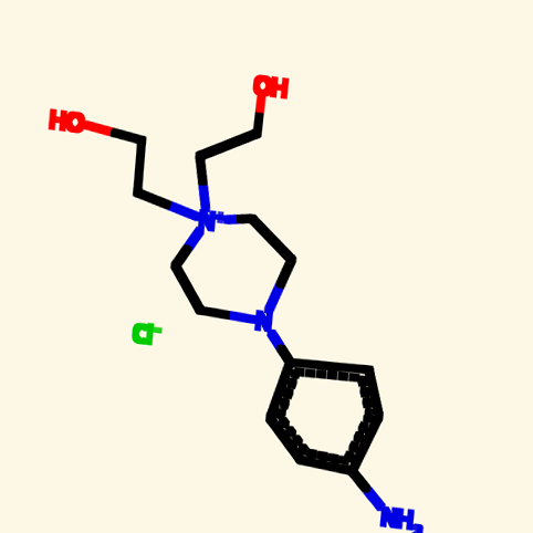 Nc1ccc(N2CC[N+](CCO)(CCO)CC2)cc1.[Cl-]